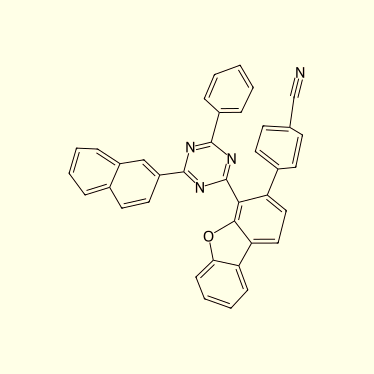 N#Cc1ccc(-c2ccc3c(oc4ccccc43)c2-c2nc(-c3ccccc3)nc(-c3ccc4ccccc4c3)n2)cc1